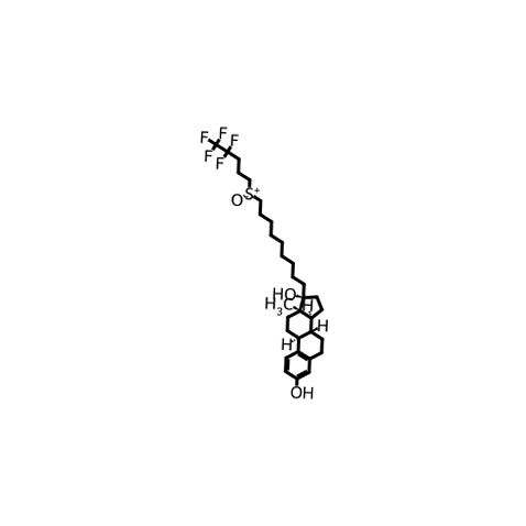 C[C@]12CC[C@@H]3c4ccc(O)cc4CC[C@H]3[C@@H]1CC[C@@]2(O)CCCCCCCCC[S+]([O-])CCCC(F)(F)C(F)(F)F